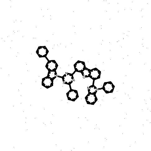 c1ccc(-c2ccc3c(c2)c2ccccc2n3-c2nc(-c3ccccc3)nc(-c3cccc4c3oc3c(-c5nc6ccccc6n5-c5ccccc5)cccc34)n2)cc1